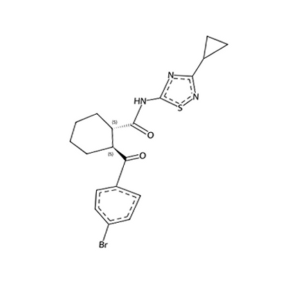 O=C(Nc1nc(C2CC2)ns1)[C@H]1CCCC[C@@H]1C(=O)c1ccc(Br)cc1